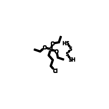 CCO[Si](CCCCl)(OCC)OCC.SSSS